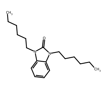 CCCCCCn1c(=O)n(CCCCCC)c2ccccc21